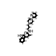 CC(Cc1c[nH]c2ccccc12)C(=O)NCCCN1CCN(c2ccccn2)CC1